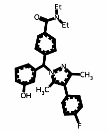 CCN(CC)C(=O)c1ccc(C(c2cccc(O)c2)n2nc(C)c(-c3ccc(F)cc3)c2C)cc1